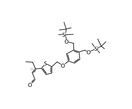 CC/C(=C/C=O)c1ccc(COc2ccc(CO[Si](C)(C)C(C)(C)C)c(CO[Si](C)(C)C(C)(C)C)c2)s1